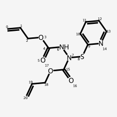 C=CCOC(=O)NN(Sc1ccccn1)C(=O)OCC=C